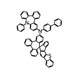 c1ccc(-c2ccc(N(c3ccc4c(c3)-c3ccccc3-c3ccccc3N4c3ccccc3)c3ccc4c(c3)-c3ccccc3-c3ccccc3C43c4ccccc4-c4c3ccc3c4sc4ccccc43)cc2)cc1